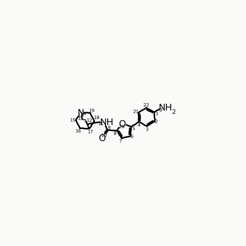 Nc1ccc(-c2ccc(C(=O)NC3CN4CCC3CC4)o2)cc1